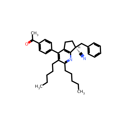 CCCCCc1nc2c(c(-c3ccc(C(C)=O)cc3)c1CCCCC)CC[C@@]2(C#N)Cc1ccccc1